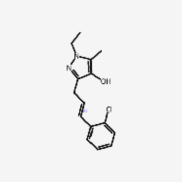 CCn1nc(C/C=C/c2ccccc2Cl)c(O)c1C